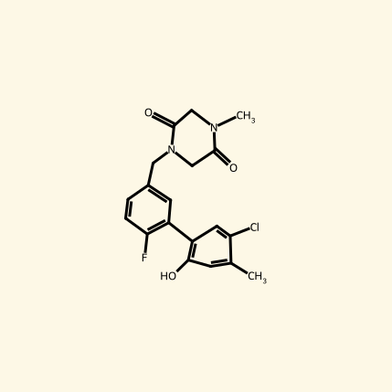 Cc1cc(O)c(-c2cc(CN3CC(=O)N(C)CC3=O)ccc2F)cc1Cl